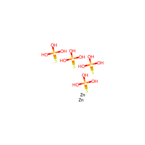 OP(O)(O)=S.OP(O)(O)=S.OP(O)(O)=S.OP(O)(O)=S.[Zn].[Zn]